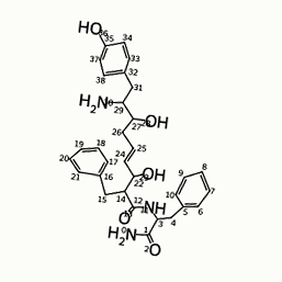 NC(=O)C(Cc1ccccc1)NC(=O)C(Cc1ccccc1)C(O)/C=C/CC(O)C(N)Cc1ccc(O)cc1